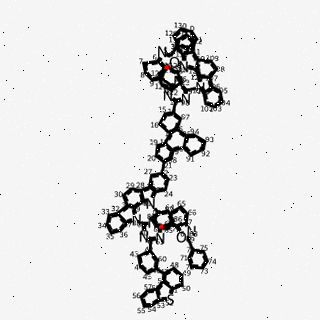 c1ccc(-c2nc3cccc(-c4nc(-c5ccc6c7ccc(-c8ccc9c(c8)c8ccc%10c%11ccccc%11n(-c%11nc(-c%12cccc(-c%13cccc%14sc%15ccccc%15c%13%14)c%12)nc(-c%12cccc%13nc(-c%14ccccc%14)oc%12%13)n%11)c%10c8n9-c8ccccc8)cc7c7ccccc7c6c5)nc(-n5c6ccccc6c6ccc7c8ccccc8n(-c8ccccc8)c7c65)n4)c3o2)cc1